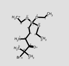 CCO[Si](CCC(N)C(=O)C(C)(C)Br)(OCC)OCC